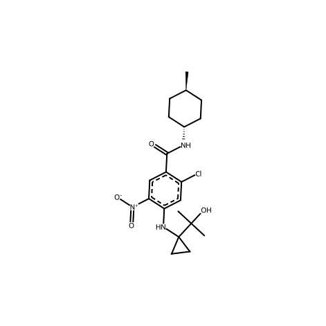 CC(C)(O)C1(Nc2cc(Cl)c(C(=O)N[C@H]3CC[C@H](C)CC3)cc2[N+](=O)[O-])CC1